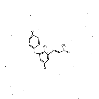 CCN(C)C=Nc1cc(Cl)cc(Cc2ccc(Br)cc2)c1C